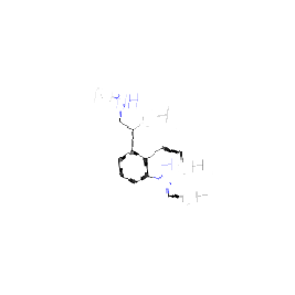 C=CNc1cccc(C(C)CNC(C)(C)C)c1/C=C\C